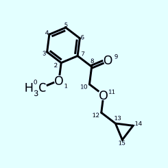 COc1ccccc1C(=O)COCC1CC1